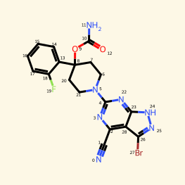 N#Cc1nc(N2CCC(OC(N)=O)(c3ccccc3F)CC2)nc2[nH]nc(Br)c12